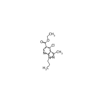 CCCn1nc(C)c2c(Cl)c(C(=O)OCC)cnc21